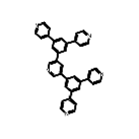 c1cc(-c2cc(-c3ccncc3)cc(-c3cncc(-c4cc(-c5ccncc5)cc(-c5ccncc5)c4)c3)c2)ccn1